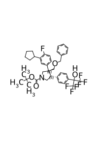 CC(C)(C)OC(=O)N1C[C@@H](c2ccc(C(O)(C(F)(F)F)C(F)(F)F)cc2)[C@@](COCc2ccccc2)(c2ccc(F)c(C3CCCC3)c2)C1